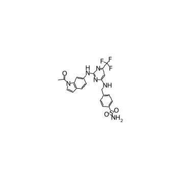 CC(=O)n1ccc2ccc(Nc3nc(NCc4ccc(S(N)(=O)=O)cc4)cc(C(F)(F)F)n3)cc21